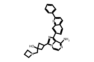 Nc1nccn2c(C3CC(O)(CN4CCC4)C3)nc(-c3ccc4ccc(-c5ccccc5)nc4c3)c12